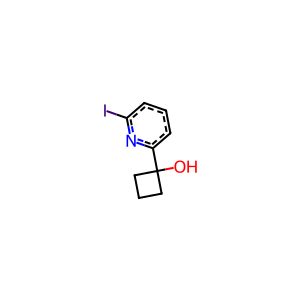 OC1(c2cccc(I)n2)CCC1